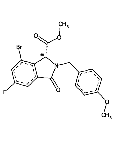 COC(=O)[C@H]1c2c(Br)cc(F)cc2C(=O)N1Cc1ccc(OC)cc1